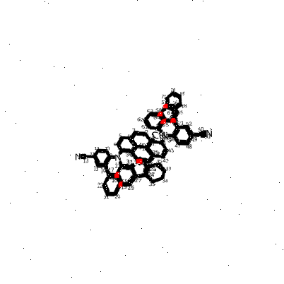 CC12C=Cc3ccc(N(c4ccc(C#N)cc4-c4ccccc4)c4cccc5c6c(oc45)C=CCC6)c4ccc(c1c34)C=CC2N(c1ccc(C#N)cc1-c1ccccc1)c1cccc2c1oc1ccccc12